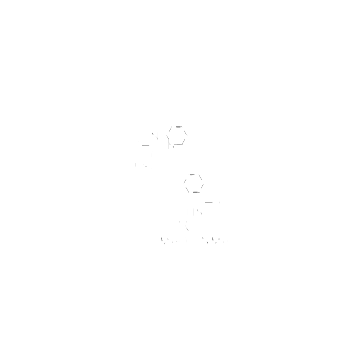 CNC(CNC(=O)c1ccc(CCc2ccc3c(n2)N(C(=O)OC(C)(C)C)CCC3)cc1)C(=O)OC